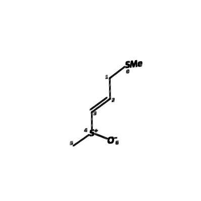 CSC/C=C/[S+](C)[O-]